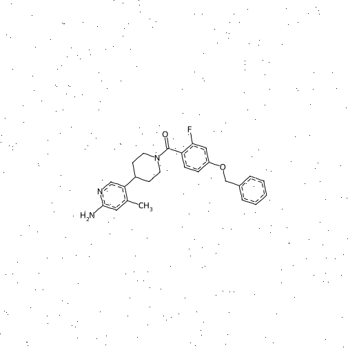 Cc1cc(N)ncc1C1CCN(C(=O)c2ccc(OCc3ccccc3)cc2F)CC1